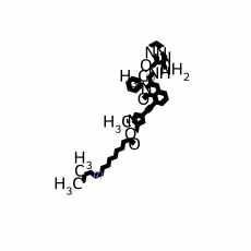 CCC(C)C/C=C\CCCCCCCC(=O)OCc1cc(C#Cc2cccc3cc([C@H](C)NC(=O)c4c(N)nn5cccnc45)n(-c4ccccc4)c(=O)c23)cn1C